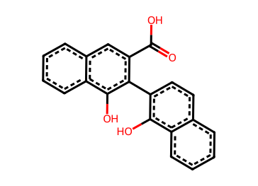 O=C(O)c1cc2ccccc2c(O)c1-c1ccc2ccccc2c1O